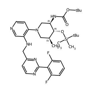 C[C@H]1CN(c2ccncc2NCc2ccnc(-c3c(F)cccc3F)n2)C[C@@H](NC(=O)OC(C)(C)C)[C@@H]1O[Si](C)(C)C(C)(C)C